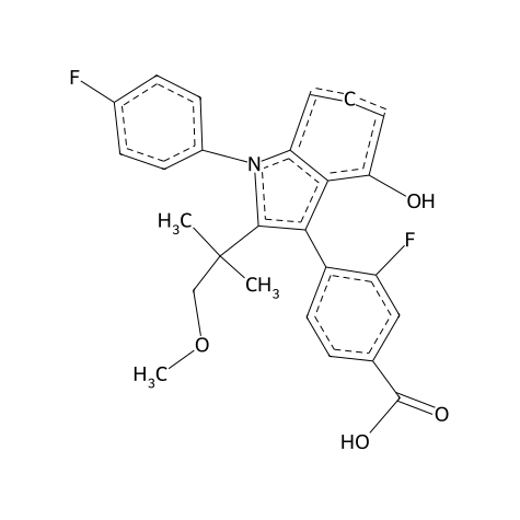 COCC(C)(C)c1c(-c2ccc(C(=O)O)cc2F)c2c(O)cccc2n1-c1ccc(F)cc1